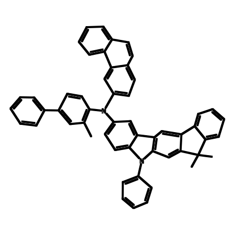 Cc1cc(-c2ccccc2)ccc1N(c1ccc2ccc3ccccc3c2c1)c1ccc2c(c1)c1cc3c(cc1n2-c1ccccc1)C(C)(C)c1ccccc1-3